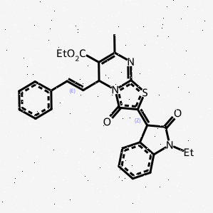 CCOC(=O)C1=C(C)N=c2s/c(=C3\C(=O)N(CC)c4ccccc43)c(=O)n2C1/C=C/c1ccccc1